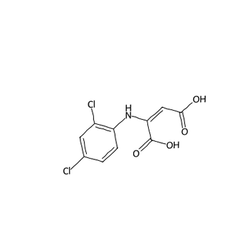 O=C(O)C=C(Nc1ccc(Cl)cc1Cl)C(=O)O